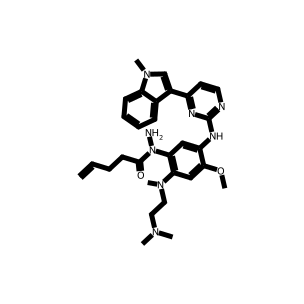 C=CCCC(=O)N(N)c1cc(Nc2nccc(-c3cn(C)c4ccccc34)n2)c(OC)cc1N(C)CCN(C)C